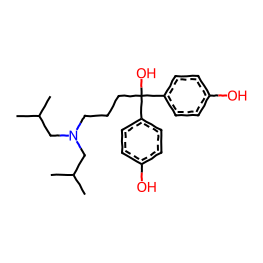 CC(C)CN(CCCC(O)(c1ccc(O)cc1)c1ccc(O)cc1)CC(C)C